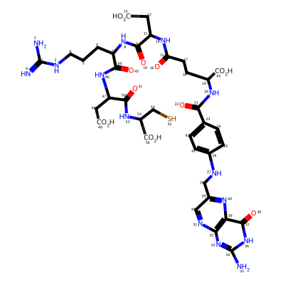 N=C(N)NCCCC(NC(=O)C(CC(=O)O)NC(=O)CCC(NC(=O)c1ccc(NCc2cnc3nc(N)[nH]c(=O)c3n2)cc1)C(=O)O)C(=O)NC(CC(=O)O)C(=O)NC(CS)C(=O)O